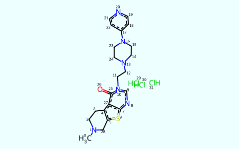 CN1CCc2c(sc3ncn(CCN4CCN(c5ccncc5)CC4)c(=O)c23)C1.Cl.Cl.Cl